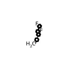 C=C[C@H]1CC[C@H](c2ccc3c(F)c(-c4cccc(F)c4)ccc3c2)CC1